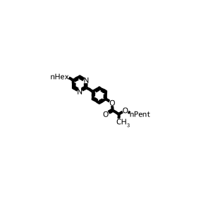 CCCCCCc1cnc(-c2ccc(OC(=O)C(C)OCCCCC)cc2)nc1